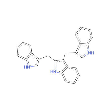 c1ccc2c(Cc3[nH]c4ccccc4c3Cc3c[nH]c4ccccc34)c[nH]c2c1